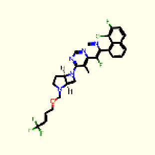 C=N/C(=C(/F)c1ncnc(N2C[C@@H]3[C@H]2CCN3COC/C=C/C(F)(F)F)c1C)c1cccc2ccc(F)c(Cl)c12